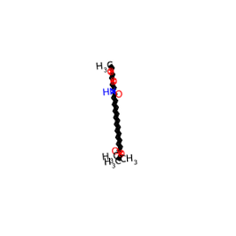 CCOCCOCCNC(=O)CCCCCCCCCCCCCCCCC(=O)OC(C)(C)C